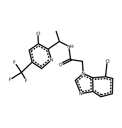 CC(NC(=O)Cn1cnc2cccc(Cl)c21)c1ncc(C(F)(F)F)cc1Cl